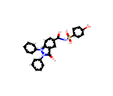 O=C(NS(=O)(=O)c1ccc(O)cc1)c1ccc2c(c1)c(=O)n(-c1ccccc1)n2-c1ccccc1